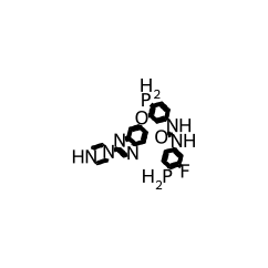 O=C(Nc1ccc(P)c(F)c1)Nc1ccc(P)c(Oc2ccc3ncc(N4CCNCC4)nc3c2)c1